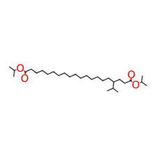 CC(C)OC(=O)CCCCCCCCCCCCCCCC(CCC(=O)OC(C)C)C(C)C